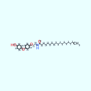 CCCCCCCCCCCCCCCCCC(=O)NCCOc1ccc(Oc2ccc(O)cc2)cc1